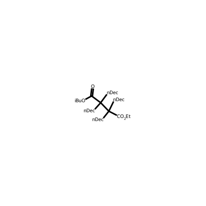 CCCCCCCCCCC(CCCCCCCCCC)(C(=O)OCC)C(CCCCCCCCCC)(CCCCCCCCCC)C(=O)OCC(C)C